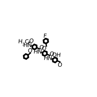 CC(=O)Nc1ccc(C(=O)Nc2ccc(C(=O)Nc3ccc(C=O)cc3O)cc2OCc2ccc(F)cc2)cc1OCc1ccccc1